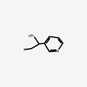 CCCC(CI)c1cccnc1